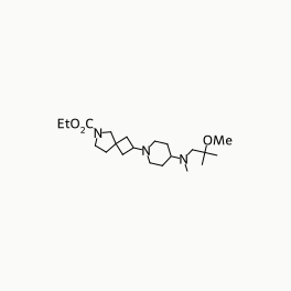 CCOC(=O)N1CCC2(CC(N3CCC(N(C)CC(C)(C)OC)CC3)C2)C1